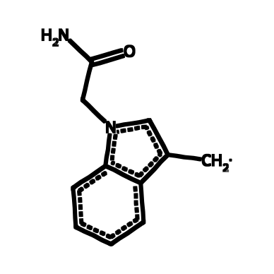 [CH2]c1cn(CC(N)=O)c2ccccc12